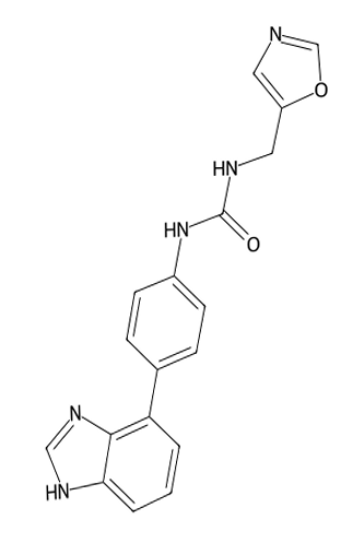 O=C(NCc1cnco1)Nc1ccc(-c2cccc3[nH]cnc23)cc1